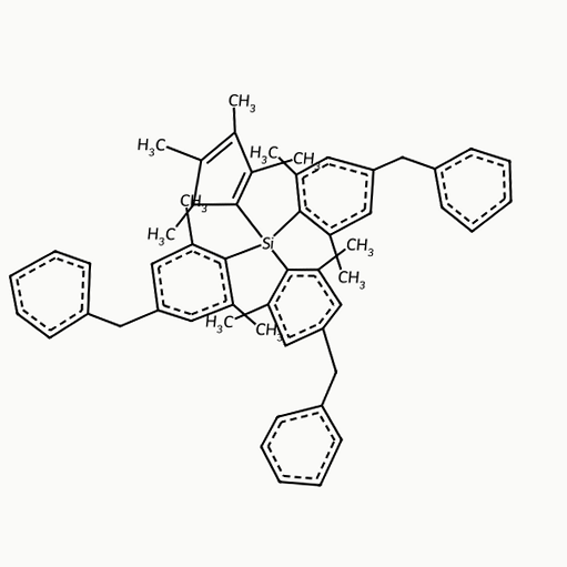 CC1=C(C)C(C)C([Si](c2c(C)cc(Cc3ccccc3)cc2C)(c2c(C)cc(Cc3ccccc3)cc2C)c2c(C)cc(Cc3ccccc3)cc2C)=C1C